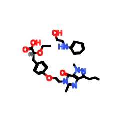 CCCc1nn(C)c2c(=O)n(CCOc3ccc(C[C@H](OCC)C(=O)O)cc3)c(C)nc12.OCCNc1ccccc1